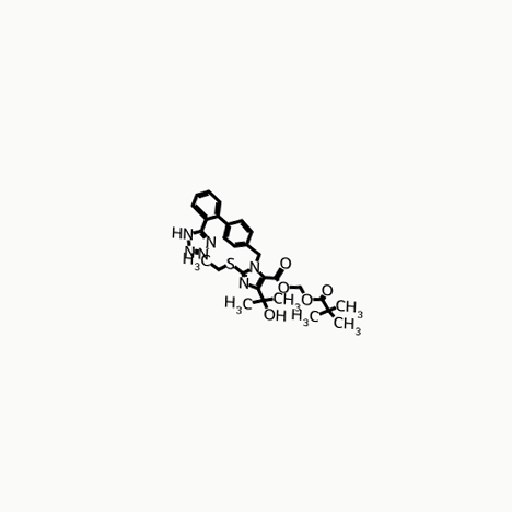 CCSc1nc(C(C)(C)O)c(C(=O)OCOC(=O)C(C)(C)C)n1Cc1ccc(-c2ccccc2-c2nnn[nH]2)cc1